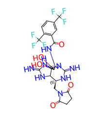 N=C1NC2[C@H](CN3C(=O)CCC3=O)NC(=N)N3CC(NC(=O)c4cc(C(F)(F)F)ccc4C(F)(F)F)C(O)(O)[C@]23N1